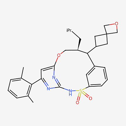 Cc1cccc(C)c1-c1cc2nc(n1)NS(=O)(=O)c1cccc(c1)C(C1CC3(COC3)C1)[C@H](CC(C)C)CO2